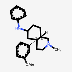 COc1cccc([C@@]23CCN(C)C[C@H]2CCC(Nc2ccccc2)C3)c1